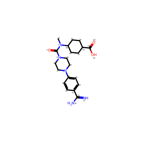 CN(C(=O)N1CCN(c2ccc(C(=N)N)cc2)CC1)C1CCC(C(=O)O)CC1